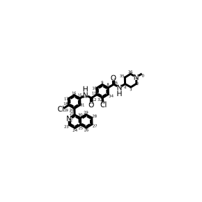 CN1CCC(NC(=O)c2ccc(C(=O)Nc3ccc(Cl)c(-c4nccc5ccccc45)c3)c(Cl)c2)CC1